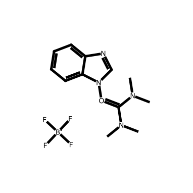 CN(C)C(=[O+]n1cnc2ccccc21)N(C)C.F[B-](F)(F)F